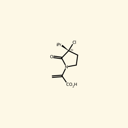 C=C(C(=O)O)N1CC[C@](Cl)(C(C)C)C1=O